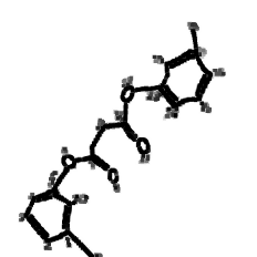 Cc1cccc(OC(=O)CC(=O)Oc2cccc(C)c2)c1